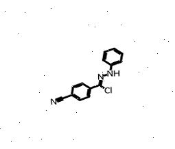 N#Cc1ccc(/C(Cl)=N/Nc2ccccc2)cc1